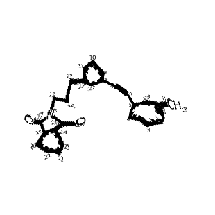 Cc1cccc(C#Cc2cccc(CCCN3C(=O)c4ccccc4C3=O)c2)c1